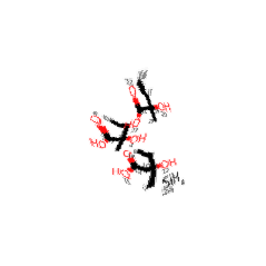 CCC(C)(O)C(=O)O.CCC(C)(O)C(=O)O.CCC(C)(O)C(=O)O.[SiH4]